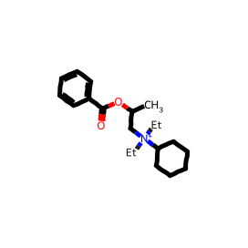 CC[N+](CC)(CC(C)OC(=O)c1ccccc1)C1CCCCC1